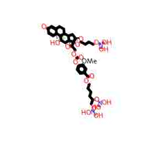 COc1cc(C(=O)OCCCCC(CON(O)O)ON(O)O)ccc1OC(=O)OCC(=O)[C@@]1(OC(=O)CCCON(O)O)[C@H](C)CC2C3CCC4=CC(=O)C=C[C@]4(C)[C@@]3(F)[C@@H](O)C[C@@]21C